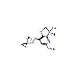 CC1(NCc2cc(C(=O)O)nc3c2OCC3(C)C)CC1